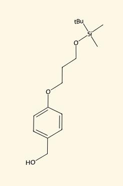 CC(C)(C)[Si](C)(C)OCCCOc1ccc(CO)cc1